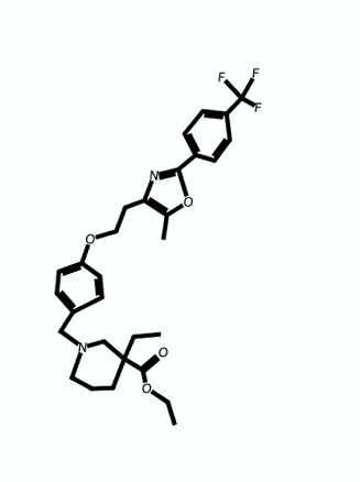 CCOC(=O)C1(CC)CCCN(Cc2ccc(OCCc3nc(-c4ccc(C(F)(F)F)cc4)oc3C)cc2)C1